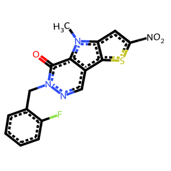 Cn1c2cc([N+](=O)[O-])sc2c2cnn(Cc3ccccc3F)c(=O)c21